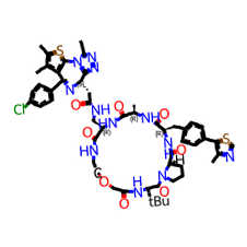 Cc1ncsc1-c1ccc(C[C@H]2NC(=O)[C@@H]3CCCN3C(=O)C(C(C)(C)C)NC(=O)COCCNC(=O)[C@@H](CNC(=O)C[C@@H]3N=C(c4ccc(Cl)cc4)c4c(sc(C)c4C)-n4c(C)nnc43)NC(=O)[C@@H](C)NC2=O)cc1